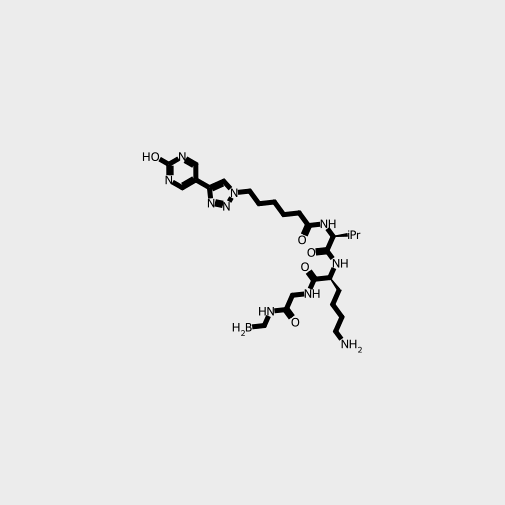 BCNC(=O)CNC(=O)[C@H](CCCCN)NC(=O)[C@@H](NC(=O)CCCCCn1cc(-c2cnc(O)nc2)nn1)C(C)C